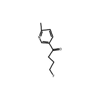 Cc1ccc(C(=O)CCCF)cn1